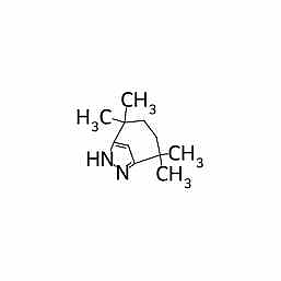 CC1(C)CCC(C)(C)c2cc1n[nH]2